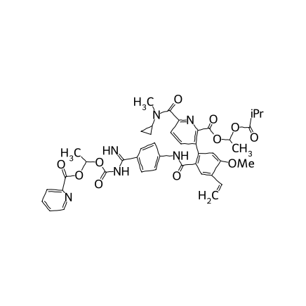 C=Cc1cc(C(=O)Nc2ccc(C(=N)NC(=O)OC(C)OC(=O)c3ccccn3)cc2)c(-c2ccc(C(=O)N(C)C3CC3)nc2C(=O)OC(C)OC(=O)C(C)C)cc1OC